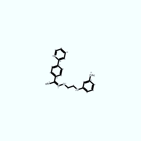 CCCC(=NOCCOc1cccc(OC(C)=O)c1)c1ccc(-c2ccccn2)cc1